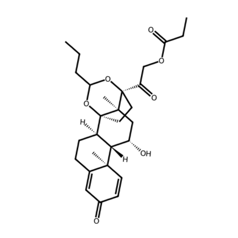 CCCC1O[C@@]2(C(=O)COC(=O)CC)CC[C@@]3(O1)[C@@H]1CCC4=CC(=O)C=C[C@]4(C)[C@H]1[C@@H](O)C[C@]23C